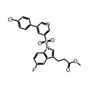 COC(=O)CCc1cn(S(=O)(=O)c2cncc(-c3ccc(Cl)cc3)c2)c2ccc(F)cc12